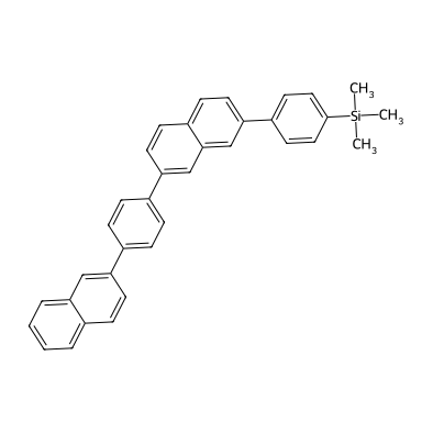 C[Si](C)(C)c1ccc(-c2ccc3ccc(-c4ccc(-c5ccc6ccccc6c5)cc4)cc3c2)cc1